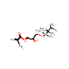 C=C(C)C(=O)OCC(O)CO[Si](C)(C)C(C)(C)C(C)C